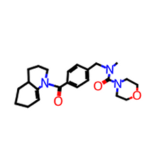 CN(Cc1ccc(C(=O)N2CCCC3CCCC=C32)cc1)C(=O)N1CCOCC1